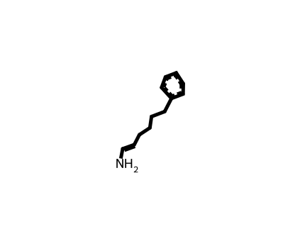 NC=CCCCCc1ccccc1